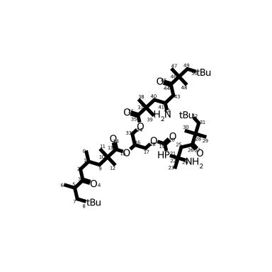 CC(CC(=O)C(C)CC(C)(C)C)CC(C)(C)C(=O)OC(COC(=O)PC(C)(N)CC(=O)C(C)(C)CC(C)(C)C)COC(=O)C(C)(C)CC(N)CC(=O)C(C)(C)CC(C)(C)C